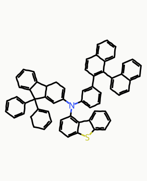 C1=CCCC(C2(c3ccccc3)C3=CC(N(c4cccc(-c5ccc6ccccc6c5-c5cccc6ccccc56)c4)c4cccc5sc6ccccc6c45)=CCC3c3ccccc32)=C1